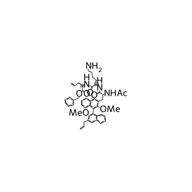 C=CCc1cc2ccccc2c(-c2c(OC)c(CC(NC(C)=O)C(=O)N[C@H](CCCCN)C(=O)N[C@H](CC=C)C(=O)OCc3ccccc3)cc3ccccc23)c1OC